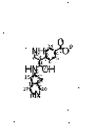 COC(=O)c1ccc(C(CN)C(O)Nc2cc3ccncc3s2)cc1